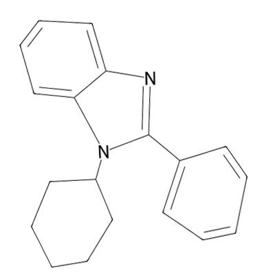 c1ccc(-c2nc3ccccc3n2C2CCCCC2)cc1